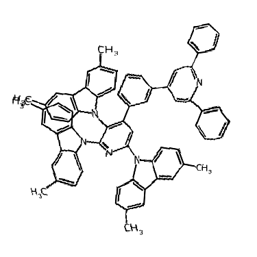 Cc1ccc2c(c1)c1cc(C)ccc1n2-c1cc(-c2cccc(-c3cc(-c4ccccc4)nc(-c4ccccc4)c3)c2)c(-n2c3ccc(C)cc3c3cc(C)ccc32)c(-n2c3ccc(C)cc3c3cc(C)ccc32)n1